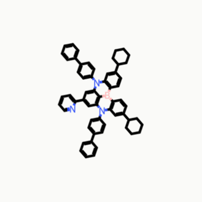 c1ccc(-c2ccc(N3c4cc(C5CCCCC5)ccc4B4c5ccc(C6CCCCC6)cc5N(c5ccc(-c6ccccc6)cc5)c5cc(-c6ccccn6)cc3c54)cc2)cc1